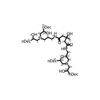 CCCCCCCCCCC(O)CN(CCCNC(=O)CC(C)(O)CC(=O)NCCCN(CC(O)CCCCCCCCCC)CC(O)CCCCCCCCCC)CC(O)CCCCCCCCCC